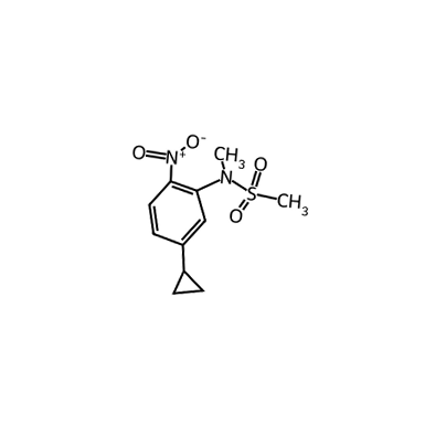 CN(c1cc(C2CC2)ccc1[N+](=O)[O-])S(C)(=O)=O